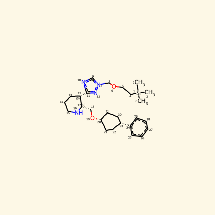 C[Si](C)(C)CCOCn1cnc([C@H]2CCCN[C@H]2CO[C@H]2CC[C@@H](c3ccccc3)CC2)n1